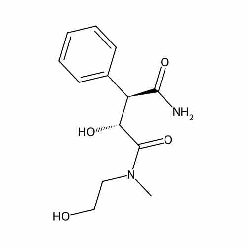 CN(CCO)C(=O)[C@H](O)[C@H](C(N)=O)c1ccccc1